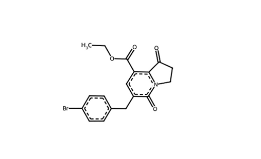 CCOC(=O)c1cc(Cc2ccc(Br)cc2)c(=O)n2c1C(=O)CC2